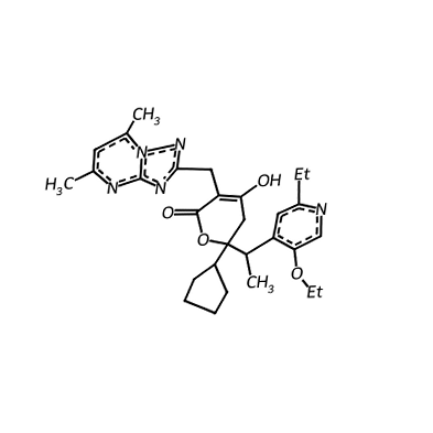 CCOc1cnc(CC)cc1C(C)C1(C2CCCC2)CC(O)=C(Cc2nc3nc(C)cc(C)n3n2)C(=O)O1